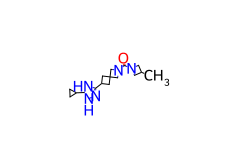 CC1CN(C(=O)N2CC3(CC(C4=NNC(C5CC5)N4)C3)C2)C1